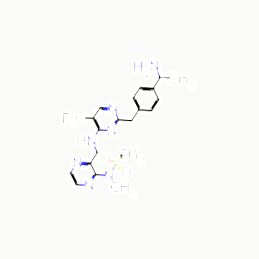 C[C@H](N)c1ccc(Cc2ncc(C(F)(F)F)c(NCc3nccnc3N(C)S(C)(=O)=O)n2)cc1